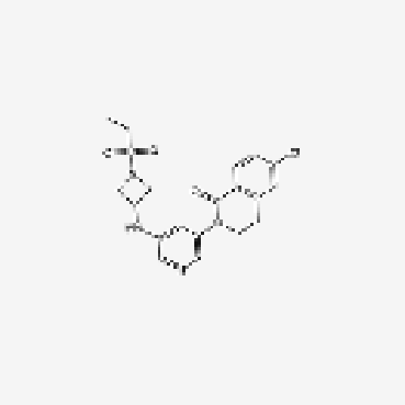 CCS(=O)(=O)N1CC(Nc2cncc(N3CCc4cc(Cl)ccc4C3=O)c2)C1